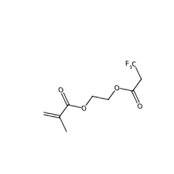 C=C(C)C(=O)OCCOC(=O)CC(F)(F)F